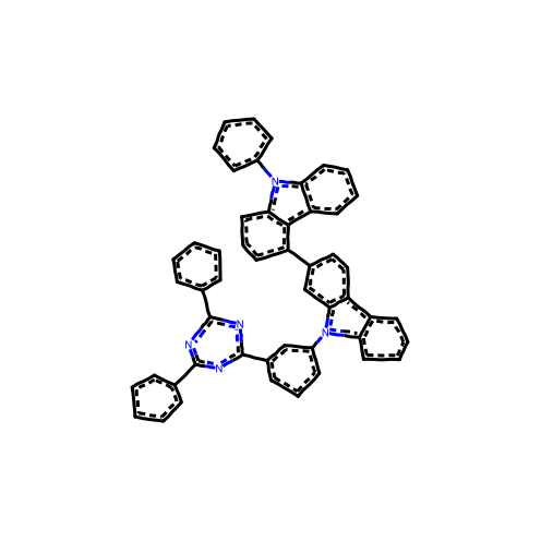 c1ccc(-c2nc(-c3ccccc3)nc(-c3cccc(-n4c5ccccc5c5ccc(-c6cccc7c6c6ccccc6n7-c6ccccc6)cc54)c3)n2)cc1